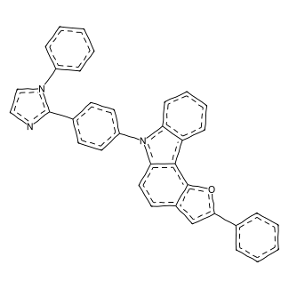 c1ccc(-c2cc3ccc4c(c5ccccc5n4-c4ccc(-c5nccn5-c5ccccc5)cc4)c3o2)cc1